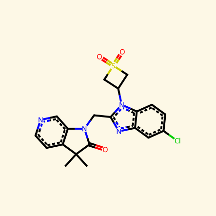 CC1(C)C(=O)N(Cc2nc3cc(Cl)ccc3n2C2CS(=O)(=O)C2)c2cnccc21